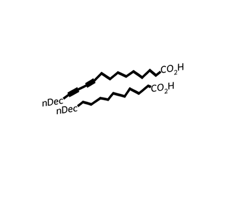 CCCCCCCCCCC#CC#CCCCCCCCCC(=O)O.CCCCCCCCCCCCCCCCCCCC(=O)O